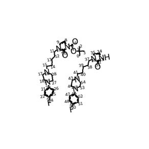 CC(C)(C)OC(=O)n1ccn(CCCCCN2CCN(c3ccc(F)cc3)CC2)c1=O.O=c1[nH]ccn1CCCCCN1CCN(c2ccc(F)cc2)CC1